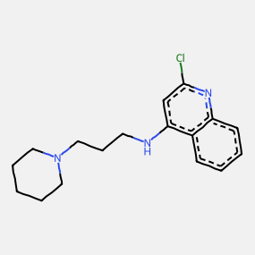 Clc1cc(NCCCN2CCCCC2)c2ccccc2n1